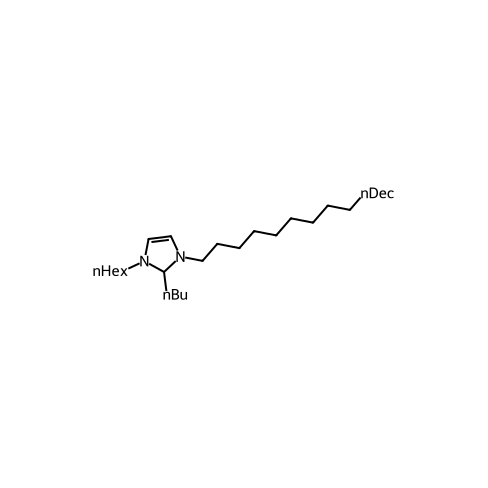 CCCCCCCCCCCCCCCCCCCN1C=CN(CCCCCC)C1CCCC